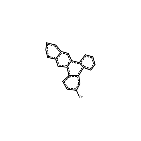 CC(C)c1ccc2c(c1)c1ccccc1c1cc3ccccc3cc21